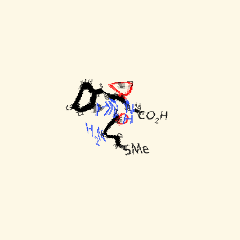 CSCC[C@H](N)C(=O)N[C@@H](Cc1ccccc1)C(=O)NCC(=O)O